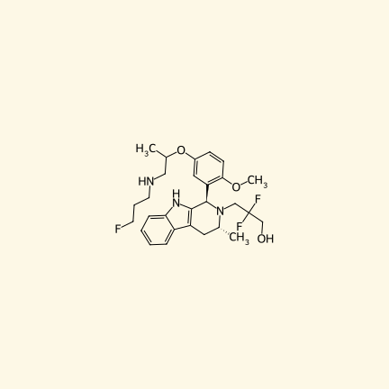 COc1ccc(OC(C)CNCCCF)cc1[C@@H]1c2[nH]c3ccccc3c2C[C@@H](C)N1CC(F)(F)CO